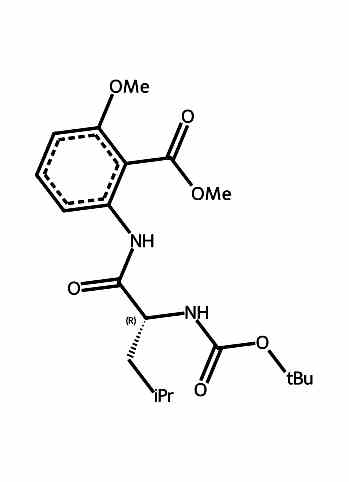 COC(=O)c1c(NC(=O)[C@@H](CC(C)C)NC(=O)OC(C)(C)C)cccc1OC